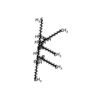 CCCCCCCCCCCCNC(=O)CCNC(CC(CNCCNCCN(CCC(=O)NCCCCCCCCCCCC)CCC(=O)NCCCCCCCCCCCC)C(=O)NCCCCCCCCCCCC)NCCC(=O)NCCCCCCCCCCCC